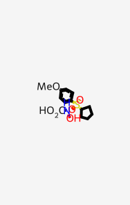 COc1ccc(S(=O)(=O)C2CCCC2)cc1.O=C(O)NO